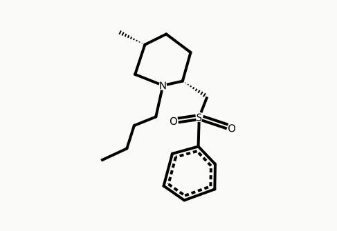 CCCCN1C[C@H](C)CC[C@@H]1CS(=O)(=O)c1ccccc1